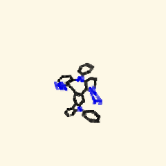 C1=CC2=C(NC1)c1cc3c4ccccc4n(-c4ccccc4)c3cc1C1=C(C=CCN1)N2c1ccccc1